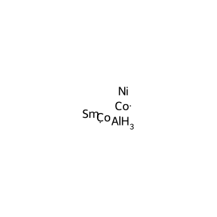 [AlH3].[Co].[Co].[Ni].[Sm]